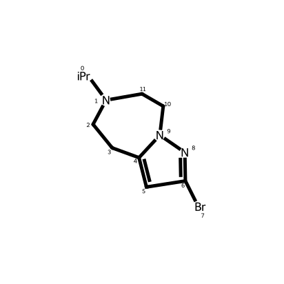 CC(C)N1CCc2cc(Br)nn2CC1